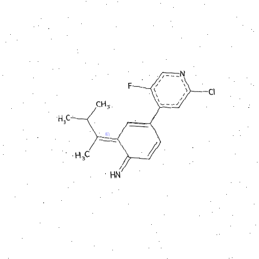 C/C(=C1/C=C(c2cc(Cl)ncc2F)C=CC1=N)C(C)C